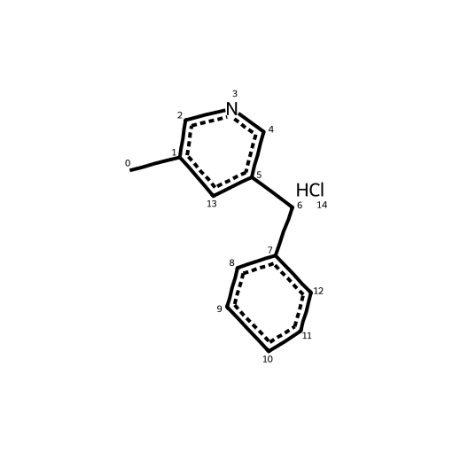 Cc1cncc(Cc2ccccc2)c1.Cl